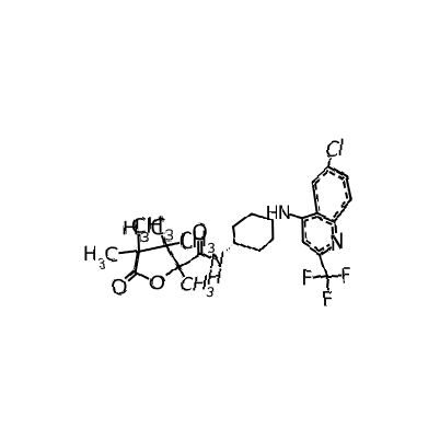 CC1(C)C(=O)OC(C)(C(=O)N[C@H]2CC[C@@H](Nc3cc(C(F)(F)F)nc4ccc(Cl)cc34)CC2)C1(C)C